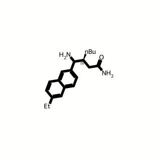 CCCC[C@@H](CC(N)=O)C(N)c1ccc2cc(CC)ccc2c1